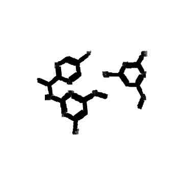 COc1cc(Cl)nc(Cl)n1.COc1cc(Cl)nc(NC(C)c2ncc(F)cn2)n1